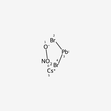 O=[N+]([O-])[O-].[Br][Pb][Br].[Cs+]